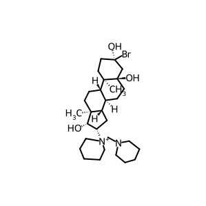 C[C@]12CC[C@H]3[C@@H](CC[C@@]4(O)C[C@](O)(Br)CC[C@]34C)[C@@H]1C[C@H]([N+]1(CN3CCCCC3)CCCCC1)[C@@H]2O